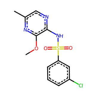 COc1nc(C)cnc1NS(=O)(=O)c1cccc(Cl)c1